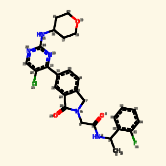 CC(NC(=O)CN1Cc2ccc(-c3nc(NC4CCOCC4)ncc3Cl)cc2C1=O)c1ccccc1F